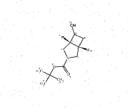 CC(C)(C)OC(=O)N1C[C@H]2CC(O)[C@H]2C1